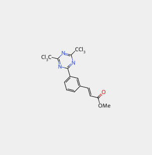 COC(=O)/C=C/c1cccc(-c2nc(C(Cl)(Cl)Cl)nc(C(Cl)(Cl)Cl)n2)c1